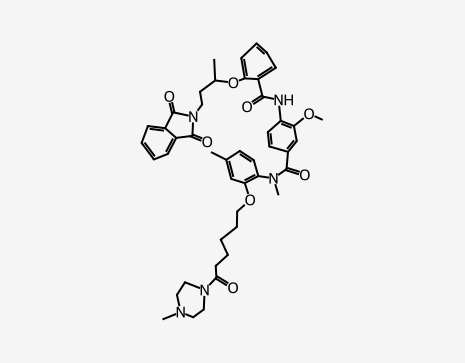 COc1cc(C(=O)N(C)c2ccc(C)cc2OCCCCCC(=O)N2CCN(C)CC2)ccc1NC(=O)c1ccccc1OC(C)CCN1C(=O)c2ccccc2C1=O